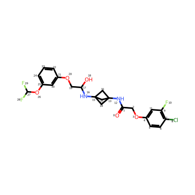 O=C(COc1ccc(Cl)c(F)c1)NC12CC(NC(O)COc3cccc(OC(F)F)c3)(C1)C2